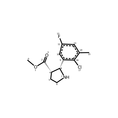 COC(=O)[C@H]1CCN[C@H]1c1cc(F)cc(C)c1Cl